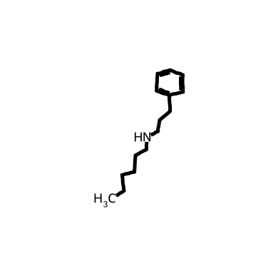 CCCCCCNCCCc1ccccc1